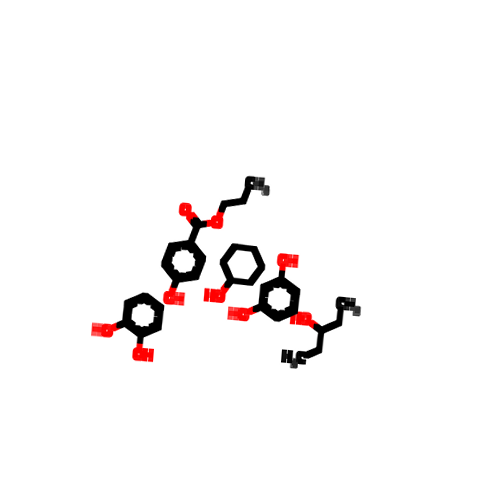 CCC(O)CC.CCCOC(=O)c1ccc(O)cc1.OC1CCCCC1.Oc1cccc(O)c1.Oc1ccccc1O